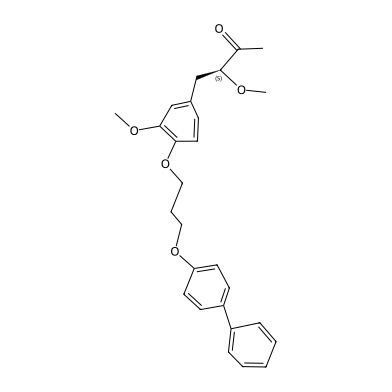 COc1cc(C[C@H](OC)C(C)=O)ccc1OCCCOc1ccc(-c2ccccc2)cc1